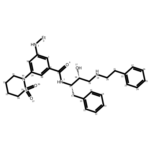 CCNc1cc(C(=O)N[C@@H](Cc2ccccc2)[C@H](O)CNCCc2ccccc2)cc(N2CCCCS2(=O)=O)c1